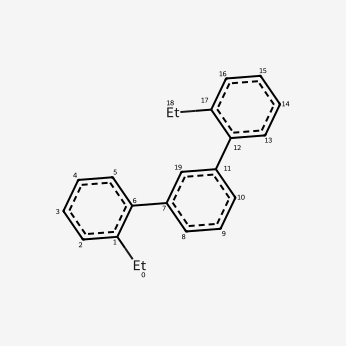 CCc1ccccc1-c1cccc(-c2ccccc2CC)c1